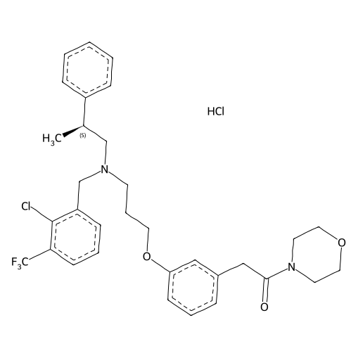 C[C@H](CN(CCCOc1cccc(CC(=O)N2CCOCC2)c1)Cc1cccc(C(F)(F)F)c1Cl)c1ccccc1.Cl